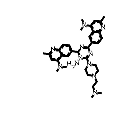 Cc1cc(N(C)C)c2cc(C3=NC(c4ccc5nc(C)cc(N(C)C)c5c4)N(N)C(N4CCN(CCN(C)C)CC4)=N3)ccc2n1